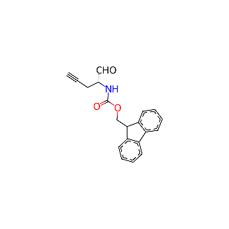 C#CC[C@H](C=O)NC(=O)OCC1c2ccccc2-c2ccccc21